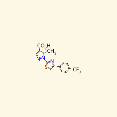 Cc1c(C(=O)O)cnn1-c1nc(-c2ccc(C(F)(F)F)cc2)cs1